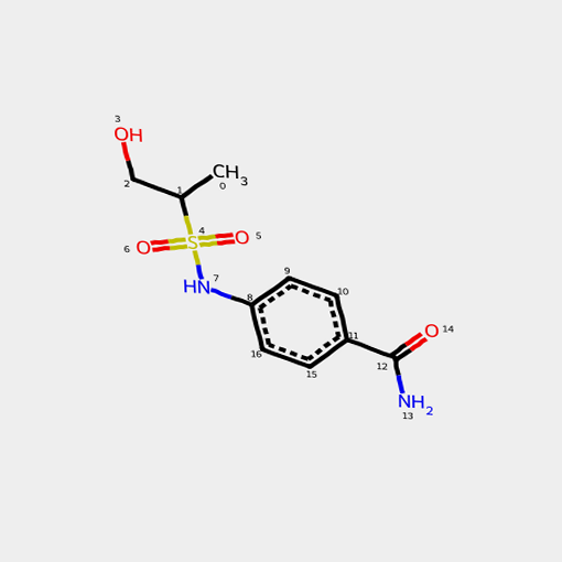 CC(CO)S(=O)(=O)Nc1ccc(C(N)=O)cc1